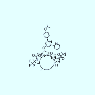 CC(C)Oc1ccc(-c2cc(O[C@@H]3C[C@H]4C(=O)N[C@]5(C(=O)NS(=O)(=O)C6(C)CC6)C[C@H]5C=CCC[C@H](C)C[C@@H](C)[C@H](N(C(=O)O)C(C)(C)C(F)(F)F)C(=O)N4C3)cc(-c3ccccn3)n2)cc1